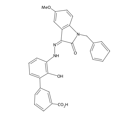 COc1ccc2c(c1)C(=NNc1cccc(-c3cccc(C(=O)O)c3)c1O)C(=O)N2Cc1ccccc1